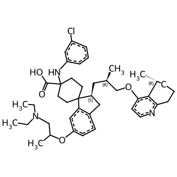 CCN(CC)CC(C)Oc1ccc2c(c1)C1(CCC(Nc3cccc(Cl)c3)(C(=O)O)CC1)[C@@H](C[C@@H](C)COc1ccnc3c1[C@H](C)CCC3)C2